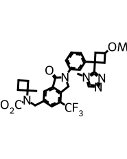 COC1CC(c2cccc(N3Cc4c(cc(CN(C(=O)O)C5(C)CCC5)cc4C(F)(F)F)C3=O)c2)(c2nncn2C)C1